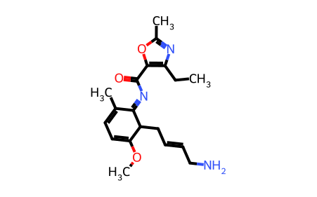 CCc1nc(C)oc1C(=O)/N=C1\C(C)=CC=C(OC)C1C/C=C/CN